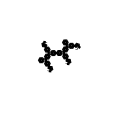 Cc1ccc(-c2ccc(N(c3ccccc3)c3ccc(N(c4ccc(-c5ccc(N(c6ccc(-c7ccc(C)s7)cc6)c6ccc(N(c7ccccc7)c7ccc(-c8ccc(C)s8)cc7)cc6)cc5)cc4)c4ccc(-c5ccc(C)s5)cc4)cc3)cc2)s1